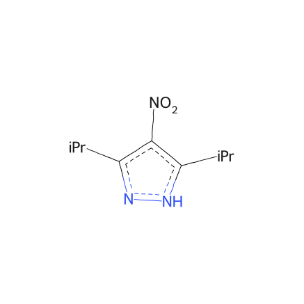 CC(C)c1n[nH]c(C(C)C)c1[N+](=O)[O-]